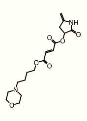 C=C1CC(OC(=O)/C=C/C(=O)OCCCCN2CCOCC2)C(=O)N1